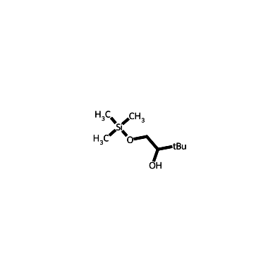 CC(C)(C)C(O)CO[Si](C)(C)C